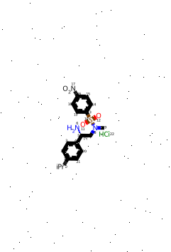 CC(C)c1ccc([C@H](N)CN(C)S(=O)(=O)c2ccc([N+](=O)[O-])cc2)cc1.Cl